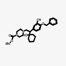 CC(C)(C)OC(=O)N1CCN(CC(c2ccc(OCc3ccccc3)c(C#N)c2)C2(O)CCCCC2)CC1